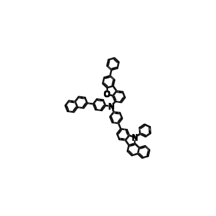 c1ccc(-c2ccc3oc4c(N(c5ccc(-c6ccc7ccccc7c6)cc5)c5ccc(-c6ccc7c8ccc9ccccc9c8n(-c8ccccc8)c7c6)cc5)cccc4c3c2)cc1